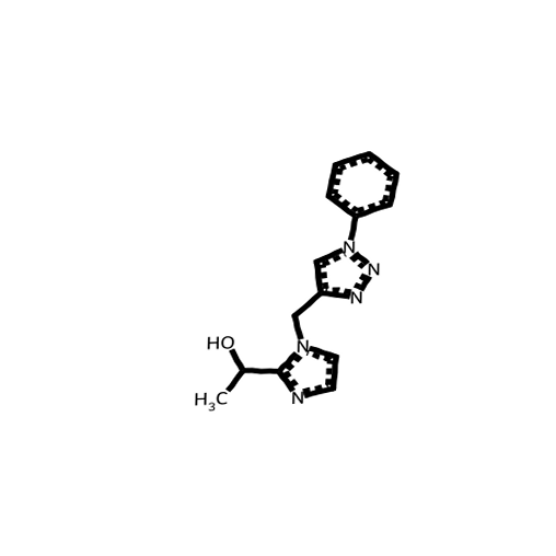 CC(O)c1nccn1Cc1cn(-c2ccccc2)nn1